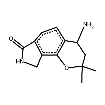 CC1(C)CC(N)c2ccc3c(c2O1)CNC3=O